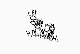 C=Cc1cnc(Nc2cc(CC)c(F)cc2OC)nc1Nc1ccc2nccnc2c1N(C)S(C)(=O)=O